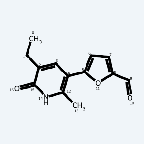 CCc1cc(-c2ccc(C=O)o2)c(C)[nH]c1=O